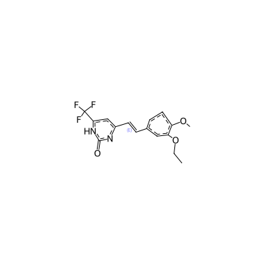 CCOc1cc(/C=C/c2cc(C(F)(F)F)[nH]c(=O)n2)ccc1OC